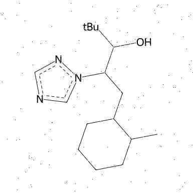 CC1CCCCC1CC(C(O)C(C)(C)C)n1cncn1